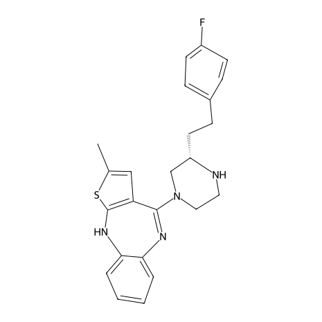 Cc1cc2c(s1)Nc1ccccc1N=C2N1CCN[C@@H](CCc2ccc(F)cc2)C1